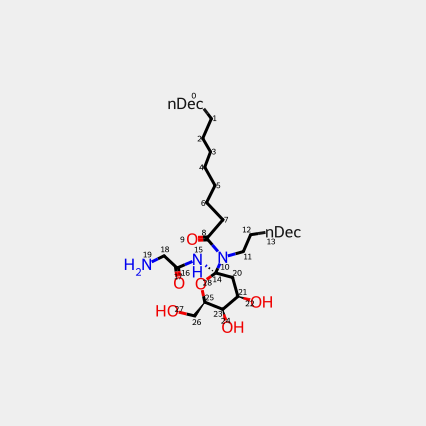 CCCCCCCCCCCCCCCCCC(=O)N(CCCCCCCCCCCC)[C@@]1(NC(=O)CN)C[C@@H](O)[C@@H](O)[C@@H](CO)O1